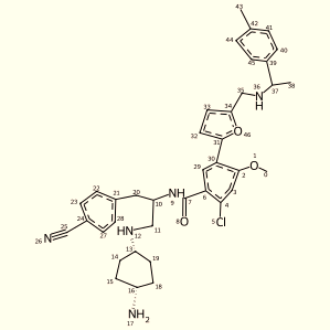 COc1cc(Cl)c(C(=O)NC(CN[C@H]2CC[C@@H](N)CC2)Cc2ccc(C#N)cc2)cc1-c1ccc(CNC(C)c2ccc(C)cc2)o1